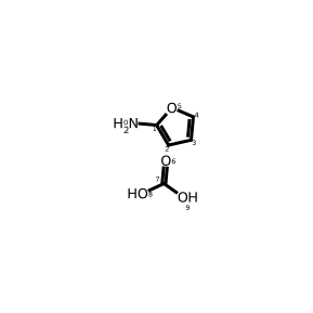 Nc1ccco1.O=C(O)O